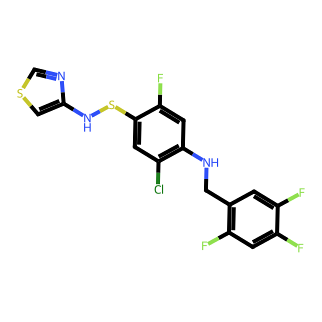 Fc1cc(F)c(CNc2cc(F)c(SNc3cscn3)cc2Cl)cc1F